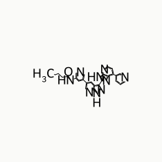 CCCCC(=O)Nc1cncc(-c2cnc3[nH]nc(-c4nc5c(-c6cccnc6)ccnc5[nH]4)c3c2)c1